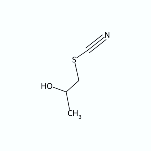 CC(O)CSC#N